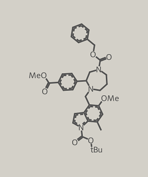 COC(=O)c1ccc(C2CN(C(=O)OCc3ccccc3)CCCN2Cc2c(OC)cc(C)c3c2ccn3C(=O)OC(C)(C)C)cc1